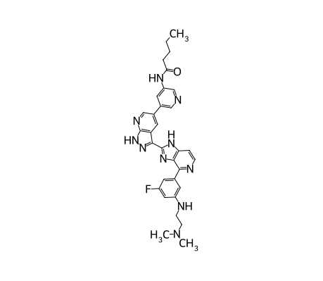 CCCCC(=O)Nc1cncc(-c2cnc3[nH]nc(-c4nc5c(-c6cc(F)cc(NCCN(C)C)c6)nccc5[nH]4)c3c2)c1